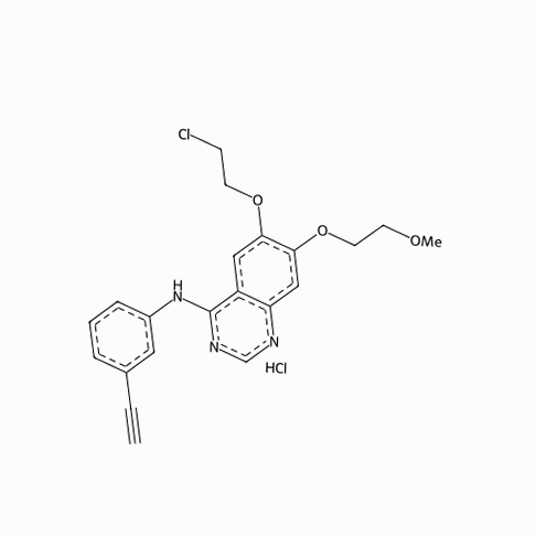 C#Cc1cccc(Nc2ncnc3cc(OCCOC)c(OCCCl)cc23)c1.Cl